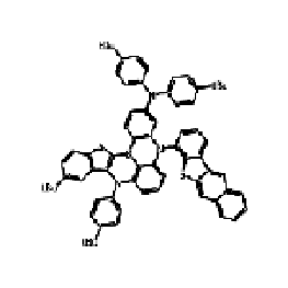 CC(C)(C)c1ccc(N(c2ccc(C(C)(C)C)cc2)c2ccc3c(c2)N(c2cccc4c2sc2cc5ccccc5cc24)c2cccc4c2B3c2sc3ccc(C(C)(C)C)cc3c2N4c2ccc(C(C)(C)C)cc2)cc1